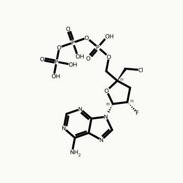 Nc1ncnc2c1ncn2[C@@H]1O[C@](CCl)(COP(=O)(O)OP(=O)(O)OP(=O)(O)O)C[C@@H]1F